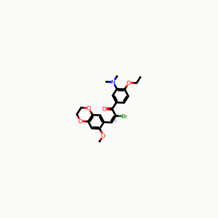 CCOc1ccc(C(=O)/C(Br)=C\c2cc3c(cc2OC)OCCO3)cc1N(C)C